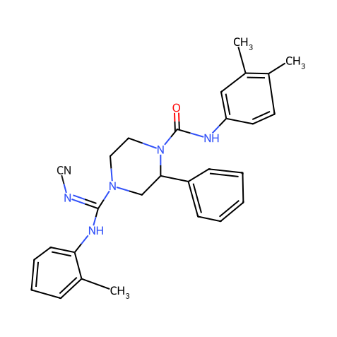 Cc1ccc(NC(=O)N2CCN(/C(=N\C#N)Nc3ccccc3C)CC2c2ccccc2)cc1C